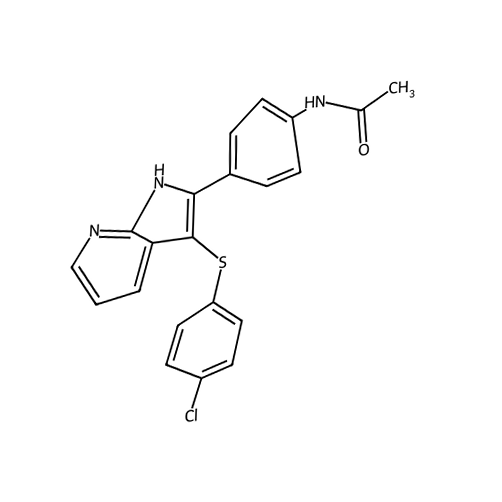 CC(=O)Nc1ccc(-c2[nH]c3ncccc3c2Sc2ccc(Cl)cc2)cc1